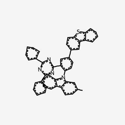 Cc1ccc2c3ccccc3n(-c3ccc(-c4ccc5sc6ccccc6c5c4)cc3-c3nc(-c4ccccc4)nc(-c4ccccc4)n3)c2c1